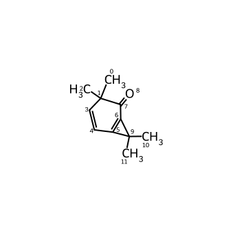 CC1(C)C=CC2=C(C1=O)C2(C)C